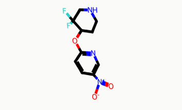 O=[N+]([O-])c1ccc(OC2CCNCC2(F)F)nc1